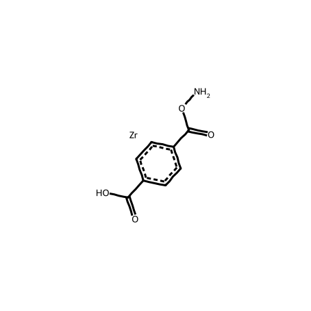 NOC(=O)c1ccc(C(=O)O)cc1.[Zr]